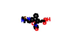 Cc1nc(C)c(-c2ccc3cc(-c4c(C(=O)N5CCOCC5)cc(/C=C/C(=O)O)cc4C4CCCCC4)ccc3n2)s1